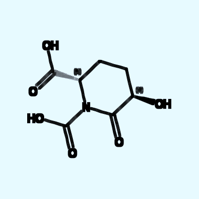 O=C(O)[C@@H]1CC[C@@H](O)C(=O)N1C(=O)O